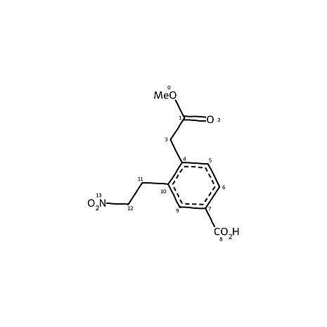 COC(=O)Cc1ccc(C(=O)O)cc1CC[N+](=O)[O-]